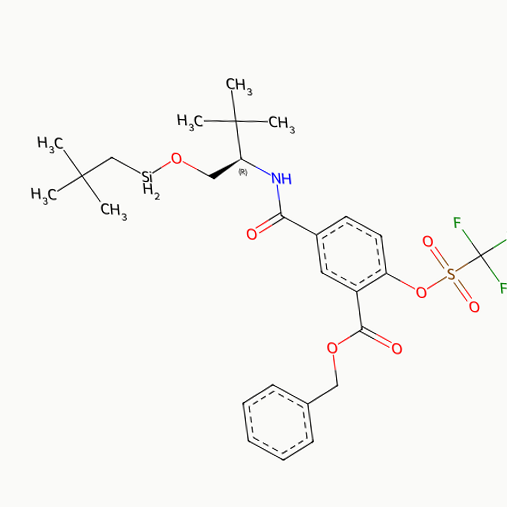 CC(C)(C)C[SiH2]OC[C@H](NC(=O)c1ccc(OS(=O)(=O)C(F)(F)F)c(C(=O)OCc2ccccc2)c1)C(C)(C)C